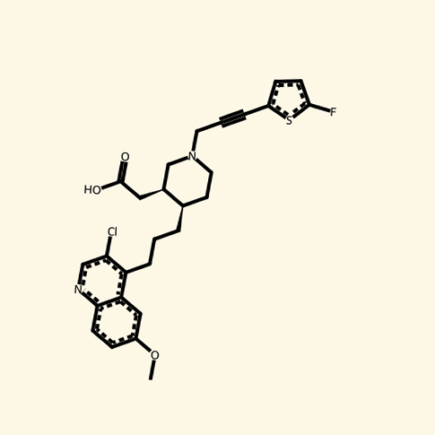 COc1ccc2ncc(Cl)c(CCC[C@@H]3CCN(CC#Cc4ccc(F)s4)C[C@@H]3CC(=O)O)c2c1